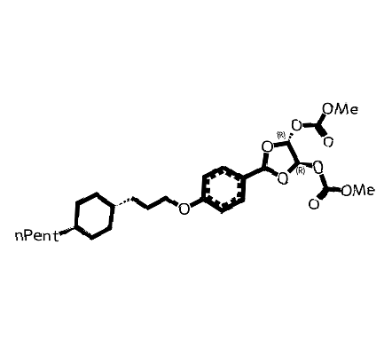 CCCCC[C@H]1CC[C@H](CCCOc2ccc(C3O[C@H](OC(=O)OC)[C@@H](OC(=O)OC)O3)cc2)CC1